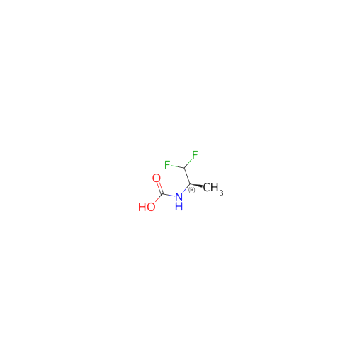 C[C@@H](NC(=O)O)C(F)F